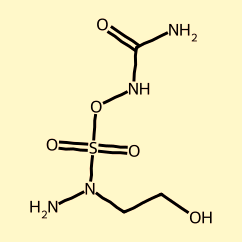 NC(=O)NOS(=O)(=O)N(N)CCO